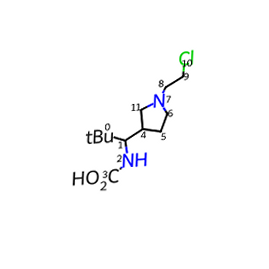 CC(C)(C)C(NC(=O)O)C1CCN(CCCl)C1